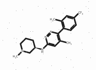 Cc1cc(C(F)(F)F)ccc1-c1nnc(N[C@@H]2CCCN(C)C2)cc1C